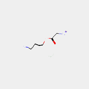 Cl.Cl.NCCCOC(=O)CN=S